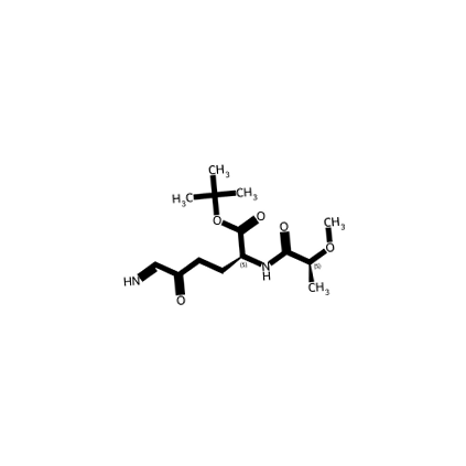 CO[C@@H](C)C(=O)N[C@@H](CCC(=O)C=N)C(=O)OC(C)(C)C